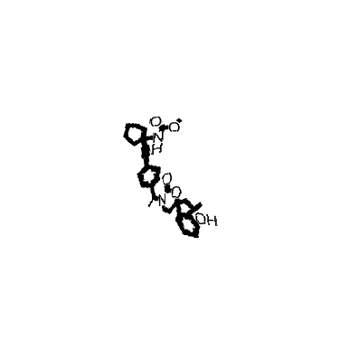 COC(=O)NC1(C#Cc2ccc([C@H](C)N3CCC(CC(C)(C)O)(c4ccccc4)OC3=O)cc2)CCCCC1